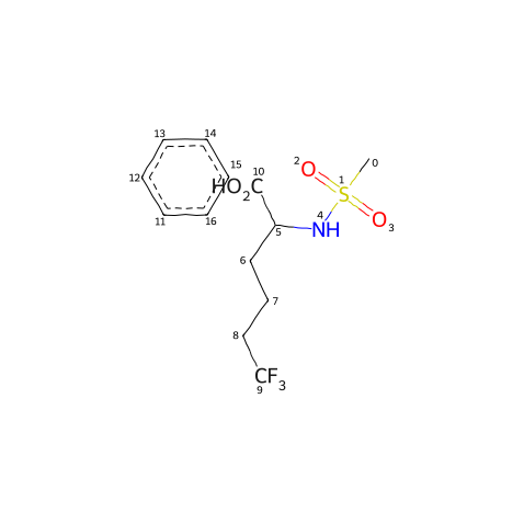 CS(=O)(=O)NC(CCCC(F)(F)F)C(=O)O.c1ccccc1